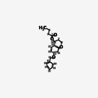 CCCC(=O)O[C@H]1CCOc2cc(OCc3ccccc3)ccc21